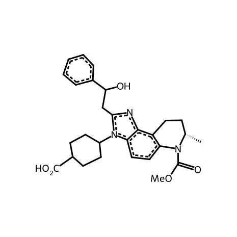 COC(=O)N1c2ccc3c(nc(CC(O)c4ccccc4)n3C3CCC(C(=O)O)CC3)c2CC[C@@H]1C